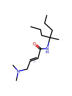 CCCC(C)(CCC)NC(=O)/C=C/CN(C)C